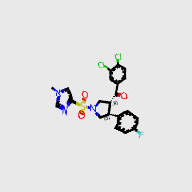 Cn1cnc(S(=O)(=O)N2C[C@H](C(=O)c3ccc(Cl)c(Cl)c3)[C@@H](c3ccc(F)cc3)C2)c1